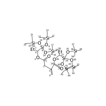 C=C(CC(=O)OC(CC)[Si](O[Si](C)(C)C)(O[Si](C)(C)C)O[Si](C)(C)C)C(=O)OC(CC)[Si](O[Si](C)(C)C)(O[Si](C)(C)C)O[Si](C)(C)C